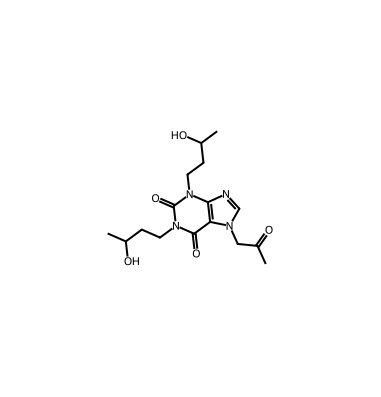 CC(=O)Cn1cnc2c1c(=O)n(CCC(C)O)c(=O)n2CCC(C)O